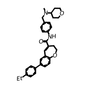 CCc1ccc(-c2ccc3c(c2)C=C(C(=O)Nc2ccc(CN(C)C4CCOCC4)cc2)CCO3)cc1